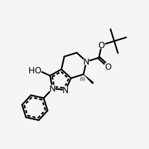 C[C@H]1c2nn(-c3ccccc3)c(O)c2CCN1C(=O)OC(C)(C)C